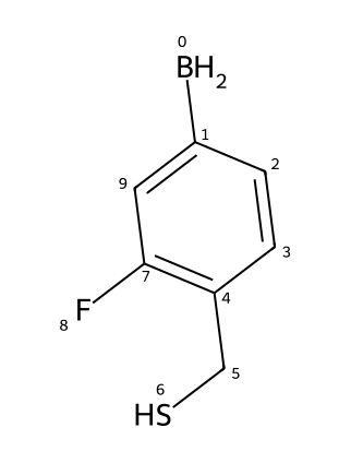 Bc1ccc(CS)c(F)c1